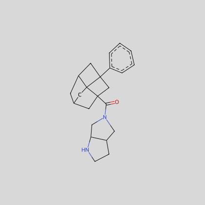 O=C(N1CC2CCNC2C1)C12CC3CC4CC(c5ccccc5)(C1)C42C3